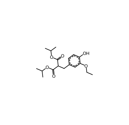 CCOc1cc(CC(C(=O)OC(C)C)C(=O)OC(C)C)ccc1O